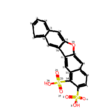 O=S(=O)(O)c1ccc2cc3oc4cc5ccccc5cc4c3cc2c1S(=O)(=O)O